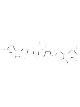 O=C1C(=O)c2c(F)cc(F)cc2/C1=C/c1cc2sc3c(c2s1)C1(CCCCC1)c1c-3sc2cc(/C=C3\C(=O)C(=O)c4cc(F)cc(F)c43)sc12